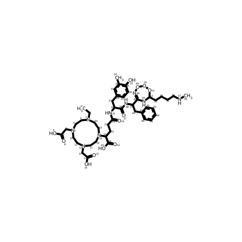 CCN1CCN(CC(=O)O)CCN(CC(=O)O)CCN(C(CCC(=O)NC(Cc2ccc(O)c(C)c2)C(=O)NC(Cc2ccccc2)C2=NOOOC(CCCCNC)N2)C(=O)O)CC1